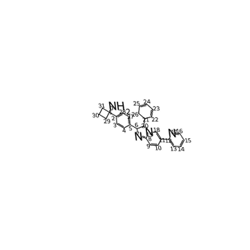 NC1(c2ccc(C3N=C4C=CC(c5ccccn5)=CN4C3C3C=CC=CC3)cc2)CCC1